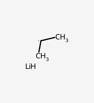 C[CH]C.[LiH]